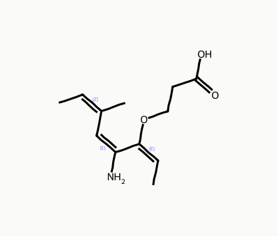 C\C=C(C)/C=C(N)\C(=C/C)OCCC(=O)O